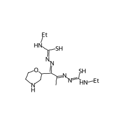 CCN/C(S)=N/N=C(/C(C)=N/N=C(\S)NCC)C1CNCCO1